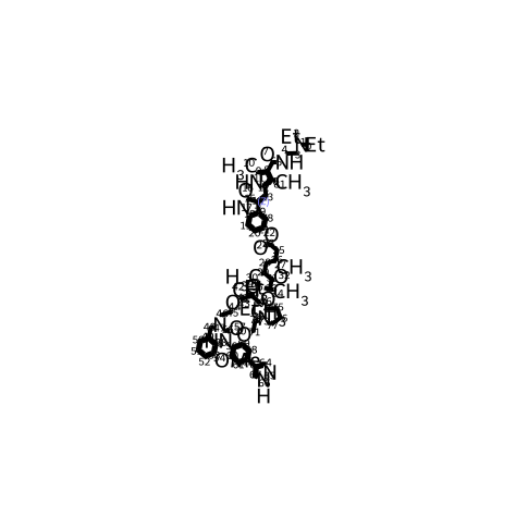 CCN(CC)CCNC(=O)c1c(C)[nH]c(/C=C2\C(=O)Nc3ccc(OC(=O)CC(C)CC(C)C(=O)C(C)(CC)OC(C)C(=O)C(C)(CC)OCCN(Cc4cccc(OC)c4)C(=O)Nc4ccc(-c5cn[nH]c5)cc4OCCN4CCCC4)cc32)c1C